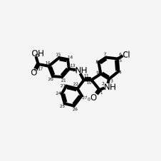 O=C1Nc2cc(Cl)ccc2C1=C(Nc1ccc(C(=O)O)cc1)c1ccccc1